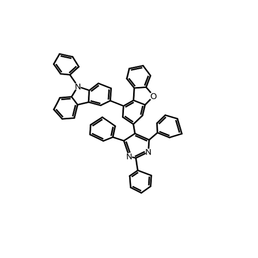 c1ccc(-c2nc(-c3ccccc3)c(-c3cc(-c4ccc5c(c4)c4ccccc4n5-c4ccccc4)c4c(c3)oc3ccccc34)c(-c3ccccc3)n2)cc1